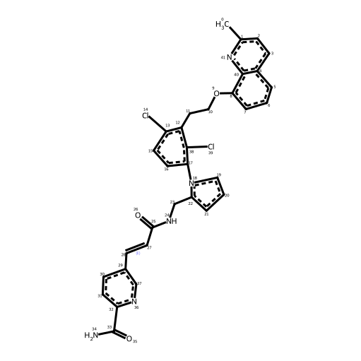 Cc1ccc2cccc(OCCc3c(Cl)ccc(-n4cccc4CNC(=O)/C=C/c4ccc(C(N)=O)nc4)c3Cl)c2n1